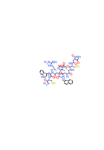 N=C(N)NCCC[C@H](NC(=O)[C@@H](Cc1ccc2ccccc2c1)NC(=O)[C@H](Cc1cnc[nH]1)NC(=O)[C@H](CCC(=O)O)NC(=O)[C@H](CS)NC(=O)CN1C(=O)CNC1=O)C(=O)NC(Cc1c[nH]c2ccccc12)C(=O)N[C@@H](CS)C(N)=O